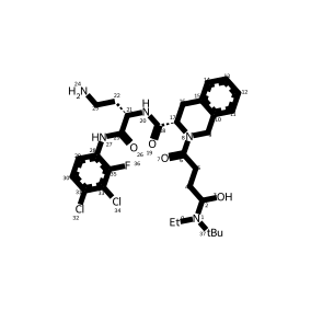 CCN(C(O)CCC(=O)N1Cc2ccccc2C[C@H]1C(=O)N[C@@H](CCN)C(=O)Nc1ccc(Cl)c(Cl)c1F)C(C)(C)C